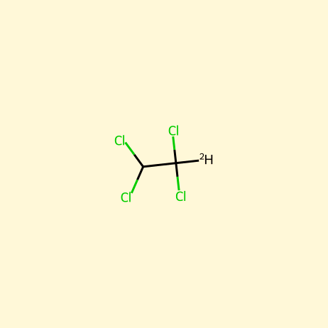 [2H]C(Cl)(Cl)C(Cl)Cl